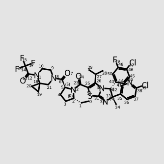 CC[C@@H]1CC[C@@H](C(=O)N2CCN(C(=O)C(F)(F)F)C3(CC3)C2)N1C(=O)C1=C(C(C)C)N2C(=N[C@@](C)(c3ccc(Cl)nc3)[C@H]2c2ccc(Cl)c(F)c2)S1